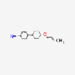 C/C=C/COC1CCC(c2ccc(C#N)cc2)CC1